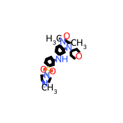 C[C@@H]1C(=O)N(C)c2ccc(Nc3cccc(S(=O)(=O)N4CCN(C)CC4)c3)cc2N1C1CCOCC1